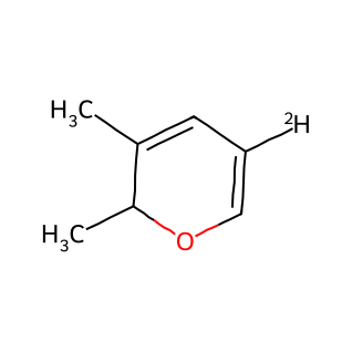 [2H]C1=COC(C)C(C)=C1